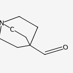 O=CC12CCN(CC1)CC2